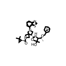 C[C@@H](OCC12CCC(CC1)OC2)C(NC(=O)[C@H]1CN(c2cccc3ncsc23)CC12CN(C(=O)[C@H]1CC1(C)C)C2)C(C)(C)O